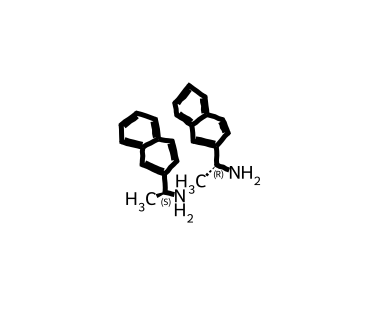 C[C@@H](N)c1ccc2ccccc2c1.C[C@H](N)c1ccc2ccccc2c1